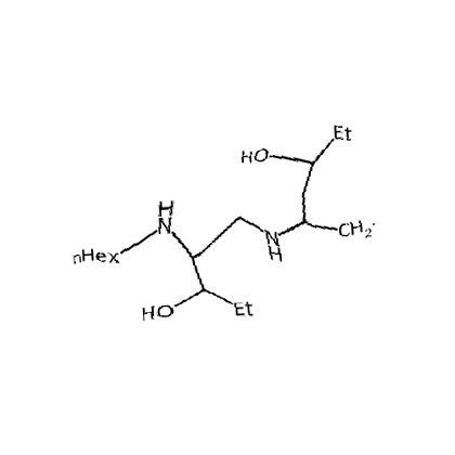 [CH2]C(NCC(NCCCCCC)C(O)CC)C(O)CC